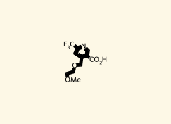 COCCOCc1cc(C(F)(F)F)ncc1C(=O)O